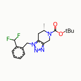 C[C@H]1Cc2c(nnn2Cc2ccccc2C(F)F)CN1C(=O)OC(C)(C)C